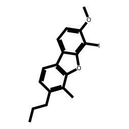 CCCc1ccc2c(oc3c(I)c(OC)ccc32)c1C